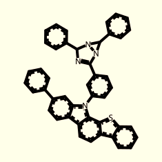 c1ccc(-c2ccc3c4ccc5c6ccccc6sc5c4n(-c4cccc(C5=NC(c6ccccc6)N6C(c7ccccc7)N56)c4)c3c2)cc1